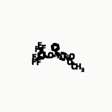 CCOC(=O)N1CCN([C@H](COCc2cc(C(F)(F)F)cc(C(F)(F)F)c2)c2ccccc2)CC1